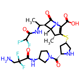 CC(NC(=O)C(F)F)[C@H]1C(=O)N2C(C(=O)O)=C(S[C@@H]3CN[C@H](C(=O)N4CC[C@H](NC(=O)C(F)(F)CN)C4)C3)[C@H](C)[C@H]12